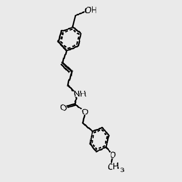 COc1ccc(COC(=O)NCC=Cc2ccc(CO)cc2)cc1